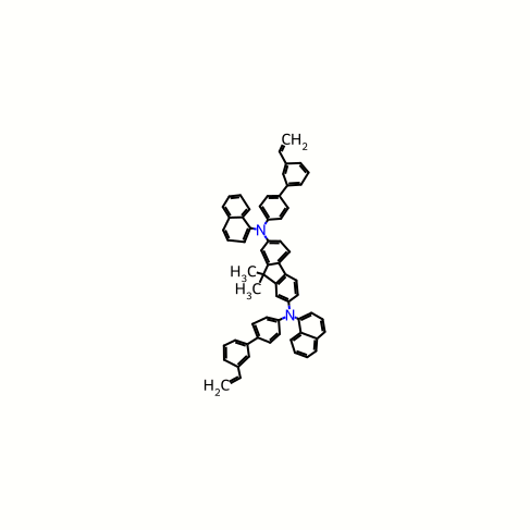 C=Cc1cccc(-c2ccc(N(c3ccc4c(c3)C(C)(C)c3cc(N(c5ccc(-c6cccc(C=C)c6)cc5)c5cccc6ccccc56)ccc3-4)c3cccc4ccccc34)cc2)c1